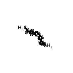 CCOC(=O)c1cnc(N2CCN(Sc3ccc(-c4cccc(OC)c4)cc3)CC2)nc1